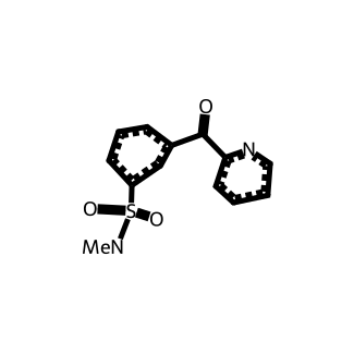 CNS(=O)(=O)c1cccc(C(=O)c2ccccn2)c1